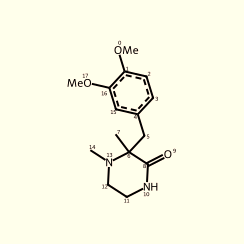 COc1ccc(CC2(C)C(=O)NCCN2C)cc1OC